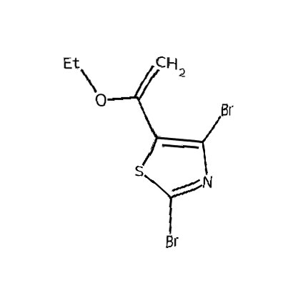 C=C(OCC)c1sc(Br)nc1Br